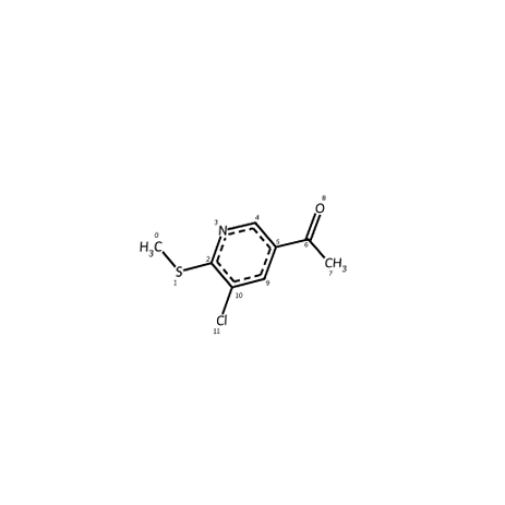 CSc1ncc(C(C)=O)cc1Cl